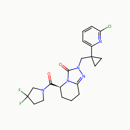 O=C([C@@H]1CCCc2nn(CC3(c4cccc(Cl)n4)CC3)c(=O)n21)N1CCC(F)(F)C1